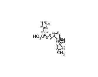 Cc1ccc(S(=O)(=O)Nc2cccc(CCCC(CCc3ccccc3)C(=O)O)c2)cc1